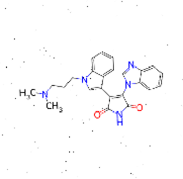 CN(C)CCCn1cc(C2=C(n3cnc4ccccc43)C(=O)NC2=O)c2ccccc21